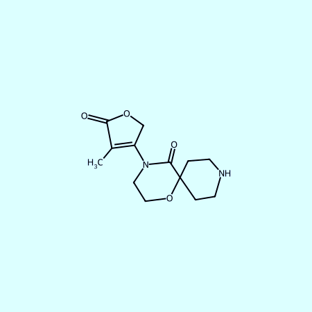 CC1=C(N2CCOC3(CCNCC3)C2=O)COC1=O